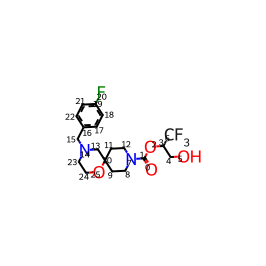 O=C(OC(CO)C(F)(F)F)N1CCC2(CC1)CN(Cc1ccc(F)cc1)CCO2